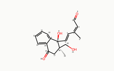 CC(=C/C=O)/C=C/[C@@]1(O)c2ccccc2C(=O)C[C@]1(C)CO